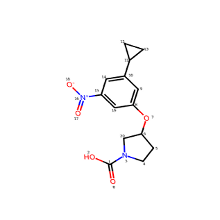 O=C(O)N1CCC(Oc2cc(C3CC3)cc([N+](=O)[O-])c2)C1